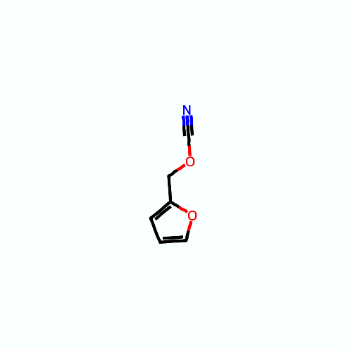 N#COCc1ccco1